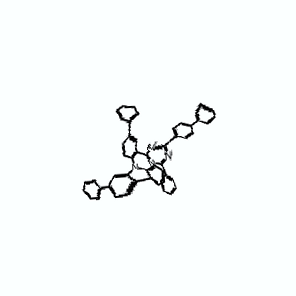 c1ccc(-c2ccc(-c3nc(-c4ccccc4)nc(-c4cc(-c5ccccc5)ccc4-n4c5ccccc5c5ccc(-c6ccccc6)cc54)n3)cc2)cc1